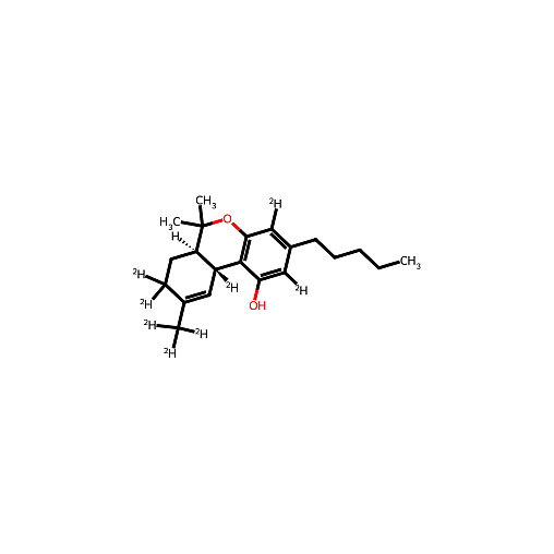 [2H]c1c(O)c2c(c([2H])c1CCCCC)OC(C)(C)[C@@H]1CC([2H])([2H])C(C([2H])([2H])[2H])=C[C@@]21[2H]